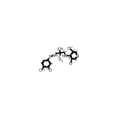 CC(C)(CNSc1ccc(Cl)c(Cl)c1)CNc1c(Cl)cncc1Cl